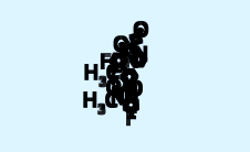 CNC(=O)c1c(-c2ccc(F)cc2)oc2ccc(-c3cc(C(=O)N(c4ncccn4)C4CC(=O)C4)cc(F)c3C)c(F)c12